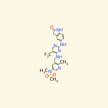 Cc1ncc(N(C)S(C)(=O)=O)cc1CNc1nc(Nc2ccc3c(c2)CC(=O)N3)ncc1C(F)(F)F